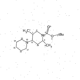 CC1CN(C(=O)OC(C)(C)C)C(C)CC1N1CCCCC1